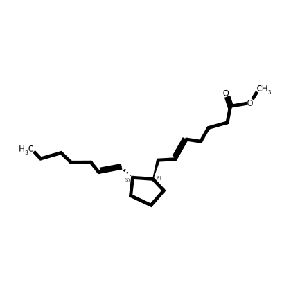 CCCCCC=C[C@H]1CCC[C@@H]1CC=CCCCC(=O)OC